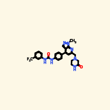 Cn1ncc2c(-c3ccc(NC(=O)Nc4cccc(C(F)(F)F)c4)cc3)cc(CN3CCNC(=O)C3)nc21